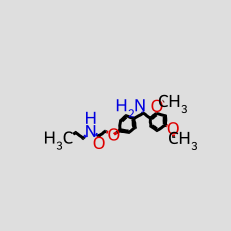 CCCNC(=O)COc1ccc(C(N)c2ccc(OC)cc2OC)cc1